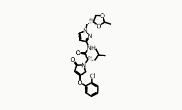 CC(C)C[C@@H](C(=O)Nc1ccn(C[C@@H]2COC(C)O2)n1)N1CC(Oc2ccccc2Cl)=CC1=O